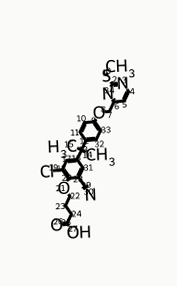 CSc1nccc(COc2ccc(C(C)(C)c3cc(Cl)c(OCCCC(=O)O)c(C#N)c3)cc2)n1